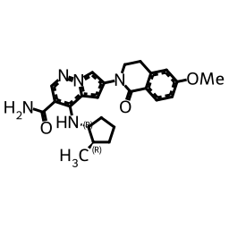 COc1ccc2c(c1)CCN(c1cc3c(N[C@@H]4CCC[C@H]4C)c(C(N)=O)cnn3c1)C2=O